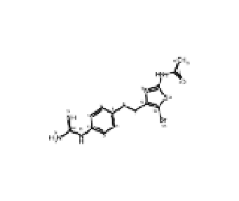 CC(=O)Nc1nc(CCc2ccc(NC(=N)N)cc2)c(Br)s1